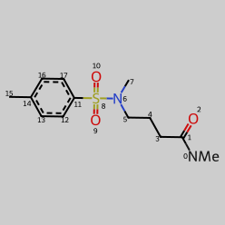 CNC(=O)CCCN(C)S(=O)(=O)c1ccc(C)cc1